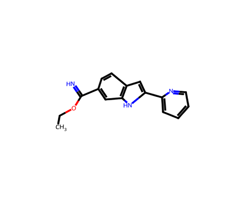 CCOC(=N)c1ccc2cc(-c3ccccn3)[nH]c2c1